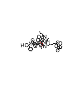 CC[C@H](C)[C@@H]([C@@H](CC(=O)N1CCC[C@H]1[C@H](OC)[C@@H](C)C(=O)N[C@H](C)[C@@H](O)c1ccccc1)OC)N(C)[C@H](C(=O)NC(=O)[C@H](C(C)C)N(C)CCCCCC(=O)ON1C(=O)CCC1=O)C(C)C